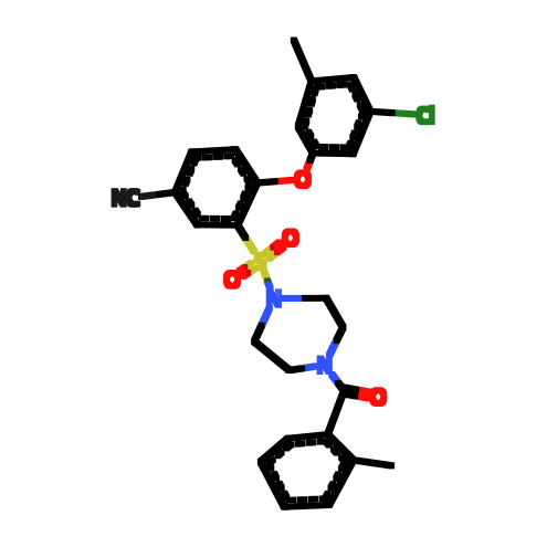 Cc1cc(Cl)cc(Oc2ccc(C#N)cc2S(=O)(=O)N2CCN(C(=O)c3ccccc3C)CC2)c1